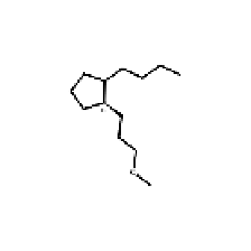 CCCCC1CCC[C@@H]1CCCOC